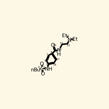 CCCCS(=O)(=O)Nc1ccc(C(=O)NCCN(CC)CC)cc1